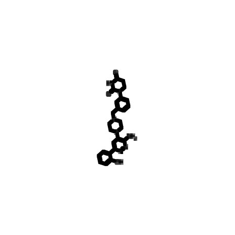 Nc1nnc(-c2ccccc2O)cc1N1CCN(Cc2cccc(N3CCC(=O)NC3=O)c2)CC1